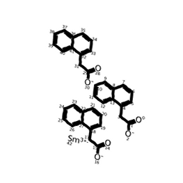 O=C([O-])Cc1cccc2ccccc12.O=C([O-])Cc1cccc2ccccc12.O=C([O-])Cc1cccc2ccccc12.[Sm+3]